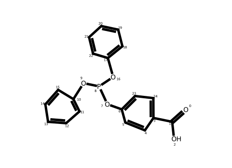 O=C(O)c1ccc(OP(Oc2ccccc2)Oc2ccccc2)cc1